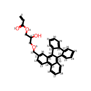 C=CC(=O)OCC(O)COCc1ccc2c3ccccc3c3c4ccccc4c4ccccc4c3c2c1